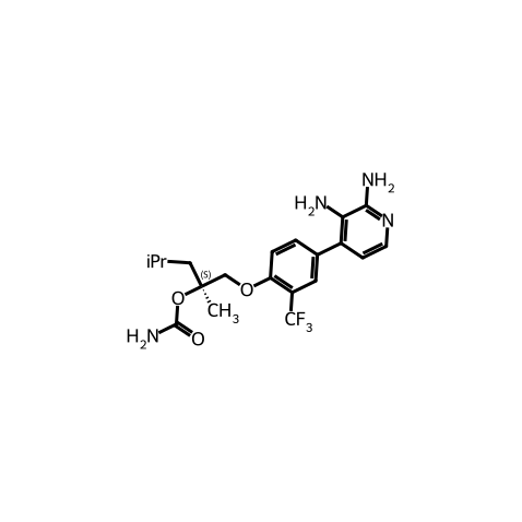 CC(C)C[C@@](C)(COc1ccc(-c2ccnc(N)c2N)cc1C(F)(F)F)OC(N)=O